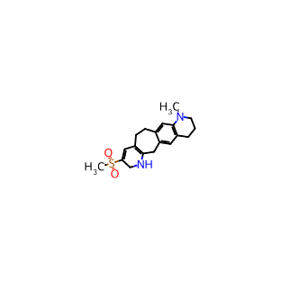 CN1CCCc2cc3c(cc21)CCC1=C(C3)NCC(S(C)(=O)=O)=C1